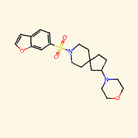 O=S(=O)(c1ccc2ccoc2c1)N1CCC2(CCC(N3CCOCC3)C2)CC1